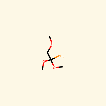 COCC(P)(OC)OC